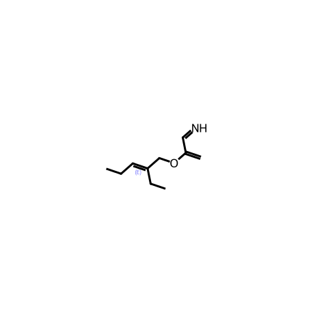 C=C(C=N)OC/C(=C/CC)CC